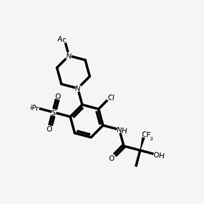 CC(=O)N1CCN(c2c(S(=O)(=O)C(C)C)ccc(NC(=O)[C@@](C)(O)C(F)(F)F)c2Cl)CC1